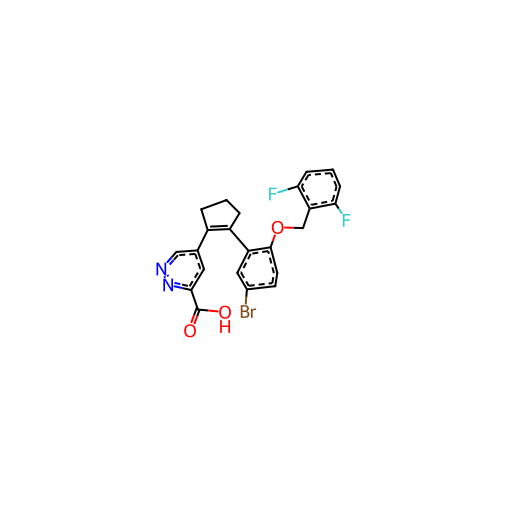 O=C(O)c1cc(C2=C(c3cc(Br)ccc3OCc3c(F)cccc3F)CCC2)cnn1